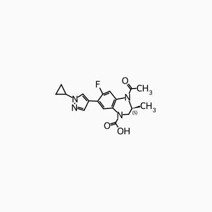 CC(=O)N1c2cc(F)c(-c3cnn(C4CC4)c3)cc2N(C(=O)O)C[C@@H]1C